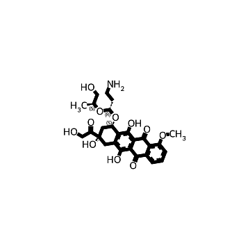 COc1cccc2c1C(=O)c1c(O)c3c(c(O)c1C2=O)C[C@@](O)(C(=O)CO)C[C@@H]3O[C@@H](CCN)O[C@@H](C)CO